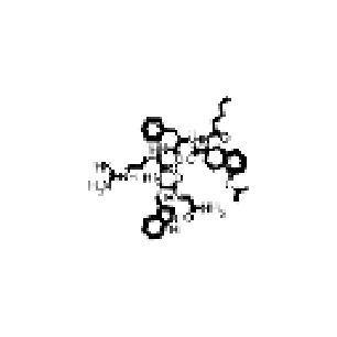 CCCCC(=O)NC1(C(=O)N[C@H](Cc2ccccc2)C(=O)N[C@@H](CCCNC(=N)N)C(=O)N[C@@H](Cc2c[nH]c3ccccc23)C(=O)NCC(N)=O)CCc2c(cccc2OC(C)C)C1